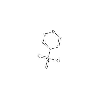 O=S(=O)(Cl)C1=NOOC=C1